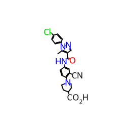 Cc1c(C(=O)Nc2ccc(N3CCC(C(=O)O)CC3)c(C#N)c2)cnn1-c1ccc(Cl)cc1